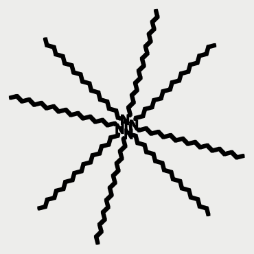 CCCCCCCCCCCCCCCCCC[N](CCCCCCCCCCCCCCCCCC)[Ti]([N](CCCCCCCCCCCCCCCCCC)CCCCCCCCCCCCCCCCCC)([N](CCCCCCCCCCCCCCCCCC)CCCCCCCCCCCCCCCCCC)[N](CCCCCCCCCCCCCCCCCC)CCCCCCCCCCCCCCCCCC